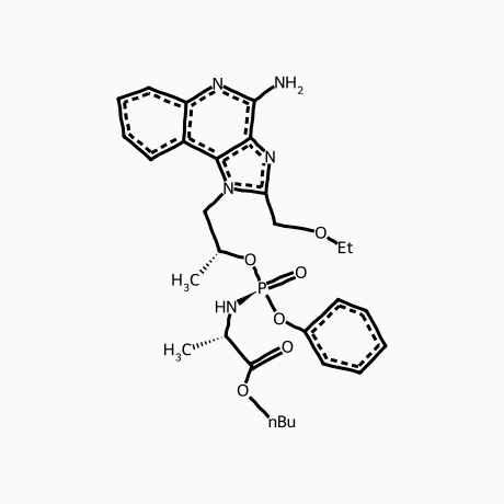 CCCCOC(=O)[C@H](C)N[P@@](=O)(Oc1ccccc1)O[C@H](C)Cn1c(COCC)nc2c(N)nc3ccccc3c21